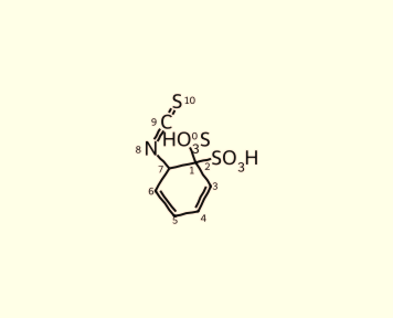 O=S(=O)(O)C1(S(=O)(=O)O)C=CC=CC1N=C=S